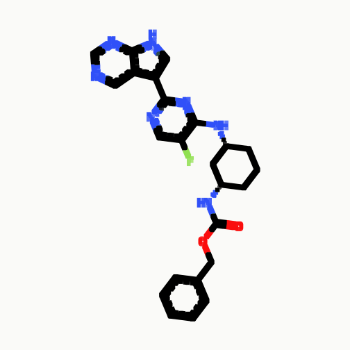 O=C(N[C@H]1CCC[C@@H](Nc2nc(-c3c[nH]c4ncncc34)ncc2F)C1)OCc1ccccc1